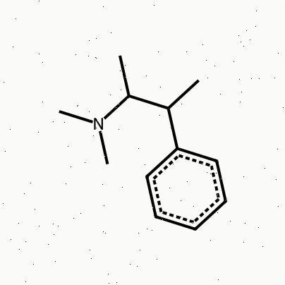 CC(c1ccccc1)C(C)N(C)C